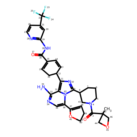 CC1(C(=O)N2CCCC(c3nc(C4C=CC(C(=O)Nc5cc(C(F)(F)F)ccn5)=CC4)c4c(N)ncc(C5=CCCO5)n34)C2)COC1